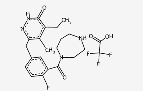 CCc1c(C)c(Cc2ccc(F)c(C(=O)N3CCCNCC3)c2)n[nH]c1=O.O=C(O)C(F)(F)F